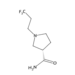 NC(=O)[C@H]1CCN(CCC(F)(F)F)C1